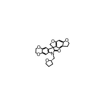 O=C1N(C[C@H]2CCCO2)c2cc3c(cc2C12COc1cc4c(cc12)CCO4)OCCO3